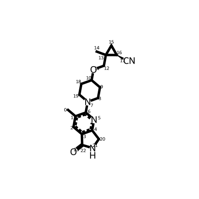 Cc1cc2c(nc1N1CCC(OCC3(C)C[C@H]3C#N)CC1)CNC2=O